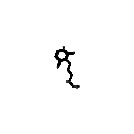 O=C(O)NCCCn1c(=O)cc[nH]c1=O